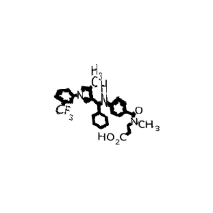 Cc1cn(-c2cccc(C(F)(F)F)c2)cc1C(Nc1ccc(C(=O)N(C)CCC(=O)O)cc1)C1CCCCC1